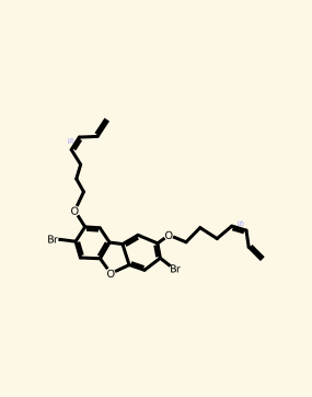 C=C/C=C\CCCOc1cc2c(cc1Br)oc1cc(Br)c(OCCC/C=C\C=C)cc12